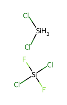 Cl[SiH2]Cl.F[Si](F)(Cl)Cl